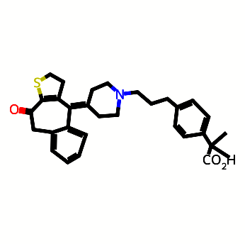 CC(C)(C(=O)O)c1ccc(CCCN2CCC(=C3C4=C(SCC4)C(=O)Cc4ccccc43)CC2)cc1